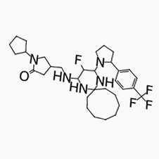 O=C1CC(CNC2NC3(CCCCCCCC3)NC(N3CCCC3c3ccc(C(F)(F)F)cc3)C2F)CN1C1CCCC1